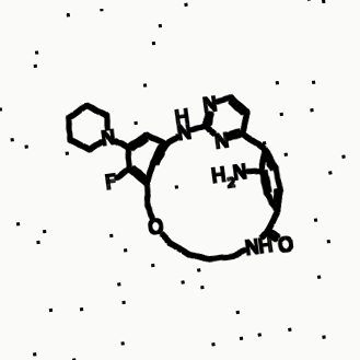 Nc1cc2ccc1-c1ccnc(n1)Nc1cc(c(F)c(N3CCCCC3)c1)COCCCCNC2=O